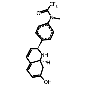 CN(C(=O)C(F)(F)F)c1ccc([C@@H]2C=CC3=CC=C(O)C[C@@H]3N2)cc1